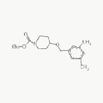 Cc1cc(COC2CCN(C(=O)OC(C)(C)C)CC2)cc(C)n1